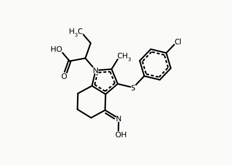 CCC(C(=O)O)n1c(C)c(Sc2ccc(Cl)cc2)c2c1CCCC2=NO